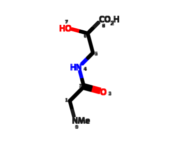 CNCC(=O)NCC(O)C(=O)O